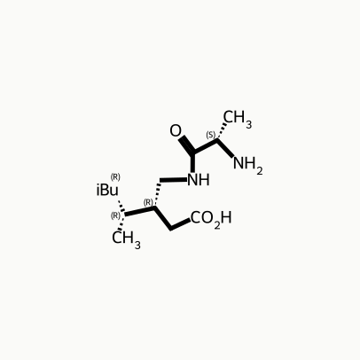 CC[C@@H](C)[C@@H](C)[C@H](CNC(=O)[C@H](C)N)CC(=O)O